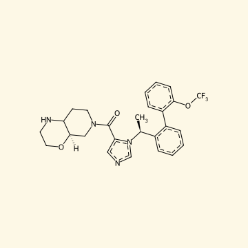 C[C@@H](c1ccccc1-c1ccccc1OC(F)(F)F)n1cncc1C(=O)N1CCC2NCCO[C@@H]2C1